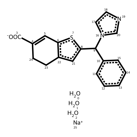 O.O.O.O=C([O-])C1=Cc2sc(C(c3ccccc3)n3ccnc3)cc2CC1.[Na+]